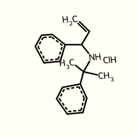 C=CC(NC(C)(C)c1ccccc1)c1ccccc1.Cl